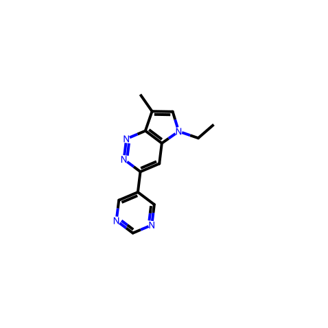 CCn1cc(C)c2nnc(-c3cncnc3)cc21